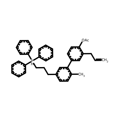 C=CCc1cc(-c2cc(CCC[PH](c3ccccc3)(c3ccccc3)c3ccccc3)ccc2C)ccc1OC(C)=O